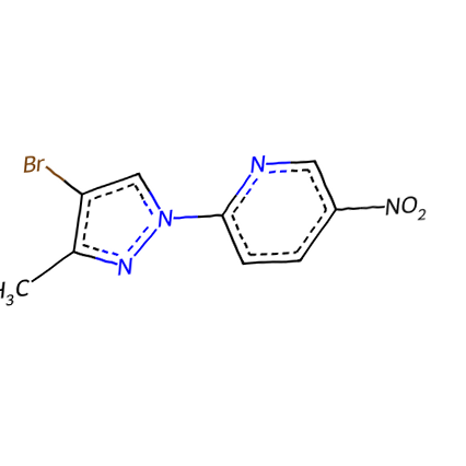 Cc1nn(-c2ccc([N+](=O)[O-])cn2)cc1Br